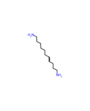 NCCCC=CCCCCCCN